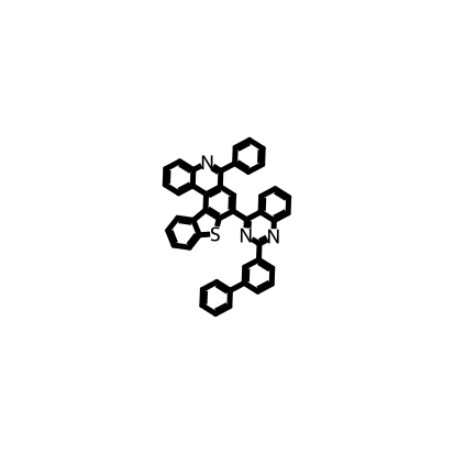 c1ccc(-c2cccc(-c3nc(-c4cc5c(-c6ccccc6)nc6ccccc6c5c5c4sc4ccccc45)c4ccccc4n3)c2)cc1